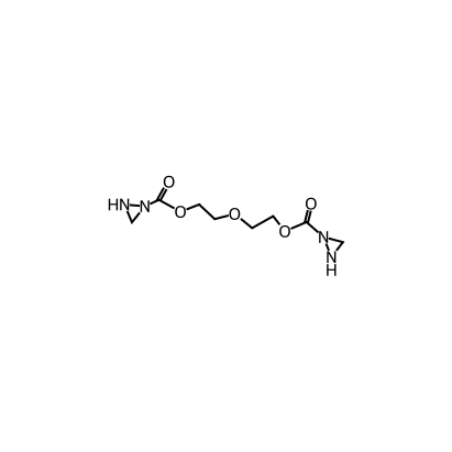 O=C(OCCOCCOC(=O)N1CN1)N1CN1